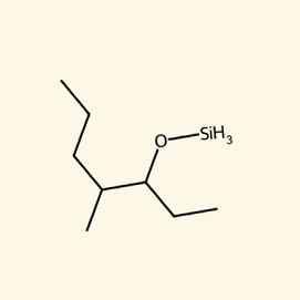 CCCC(C)C(CC)O[SiH3]